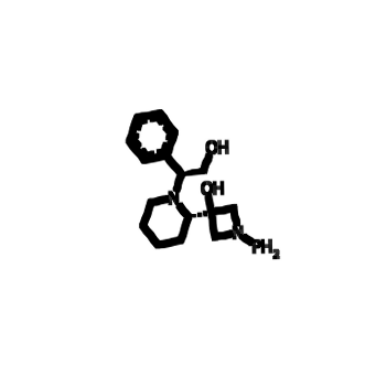 OC[C@H](c1ccccc1)N1CCCC[C@H]1C1(O)CN(P)C1